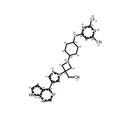 N#CCC1(n2cc(-c3ncnc4[nH]ccc34)cn2)CN(C2CCC(Oc3cc(C#N)nc(C(F)(F)F)n3)CC2)C1